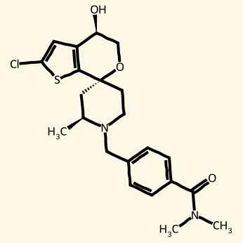 C[C@H]1C[C@@]2(CCN1Cc1ccc(C(=O)N(C)C)cc1)OC[C@H](O)c1cc(Cl)sc12